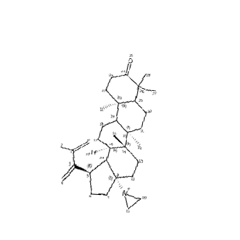 C=C(C)C(=C)[C@@H]1CC[C@]2(N3CC3)CC[C@]3(C)[C@H](CCC4[C@@]5(C)CCC(=O)C(C)(C)C5CC[C@]43C)C12